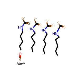 CCCCCNC(=S)[S-].CCCCCNC(=S)[S-].CCCCCNC(=S)[S-].CCCCCNC(=S)[S-].O=S.[Mo+4]